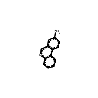 Nc1ccc2c(cnc3ccccc32)c1